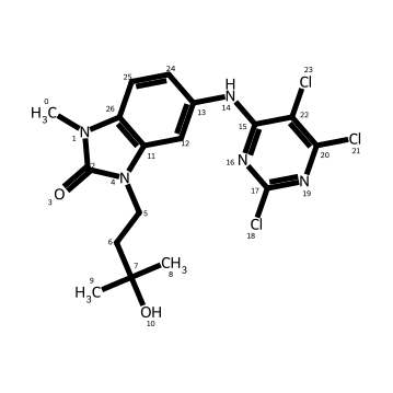 Cn1c(=O)n(CCC(C)(C)O)c2cc(Nc3nc(Cl)nc(Cl)c3Cl)ccc21